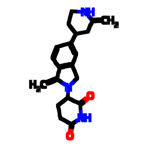 C=C1CC(c2ccc3c(c2)CN(C2CCC(=O)NC2=O)C3=C)CCN1